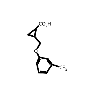 O=C(O)C1CC1COc1cccc(C(F)(F)F)c1